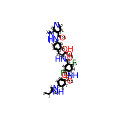 CCc1cn(-c2ccc(S(=O)(=O)Nc3cc(F)c(C(=O)N[C@@H](Cc4ccc(NC(=O)c5ccncc5NC)cc4)C(=O)O)cc3F)cc2)[nH]1